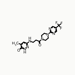 Cc1cc(NCCC(=O)N2CCN(c3ncc(C(F)(F)F)cn3)CC2)n[nH]c1=O